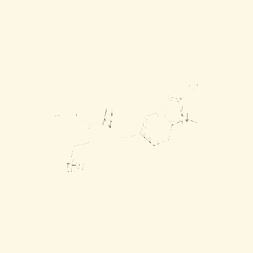 Cn1c(=O)oc2cc(CNC(CCC(C)(C)C)C(=O)O)ccc21